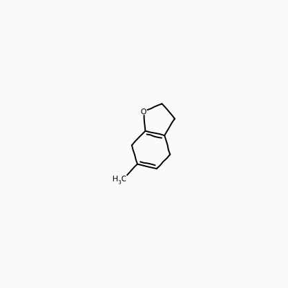 CC1=CCC2=C(C1)OCC2